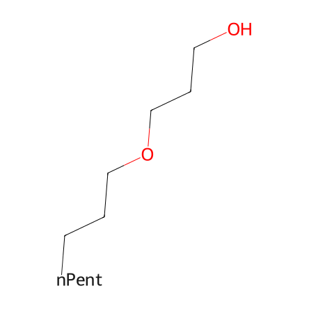 CCCCCCCCOCCCO